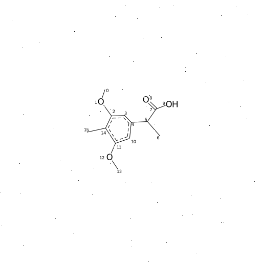 COc1cc(C(C)C(=O)O)cc(OC)c1C